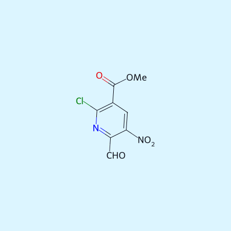 COC(=O)c1cc([N+](=O)[O-])c(C=O)nc1Cl